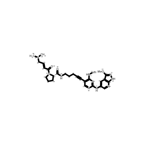 CCCNc1nc(Nc2cnc3[nH]nc(OC)c3c2)ncc1C#CCCCNC(=O)[C@@H]1CCCN1C(=O)/C=C/CN(C)C